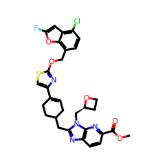 COC(=O)c1ccc2nc(CC3CC=C(c4csc(OCc5ccc(Cl)c6cc(F)oc56)n4)CC3)n(C[C@@H]3CCO3)c2n1